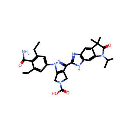 CCc1cc(-n2nc(-c3nc4cc5c(cc4[nH]3)N(C(C)C)C(=O)C5(C)C)c3c2CN(C(=O)O)C3)cc(CC)c1C(N)=O